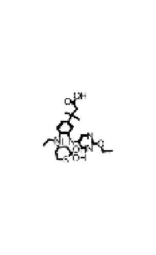 CCOc1ncc(Nc2cc(C(C)(C)CC(=O)O)ccc2N(CC)C2CCSC(O)(O)C2)cn1